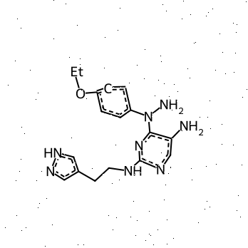 CCOc1ccc(N(N)c2nc(NCCc3cn[nH]c3)ncc2N)cc1